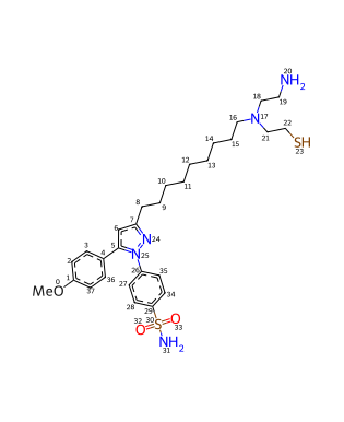 COc1ccc(-c2cc(CCCCCCCCCN(CCN)CCS)nn2-c2ccc(S(N)(=O)=O)cc2)cc1